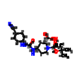 CC(C)(C)OC(=O)N1CC[C@@H](NC(=O)Nc2ccc(C#N)cc2)C[C@@H]1C(=O)O